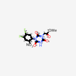 COC(=O)Cn1c(=O)[nH]c(=O)n(-c2cc(F)c(F)cc2[N+](=O)[O-])c1=O